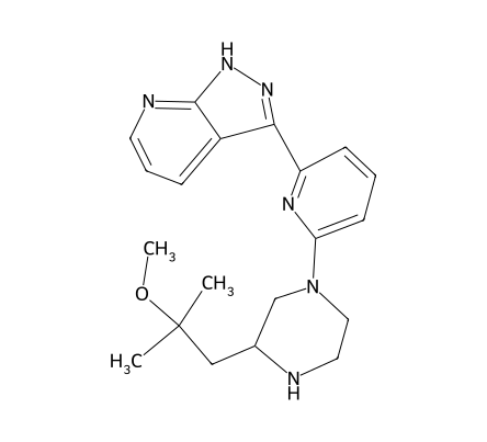 COC(C)(C)CC1CN(c2cccc(-c3n[nH]c4ncccc34)n2)CCN1